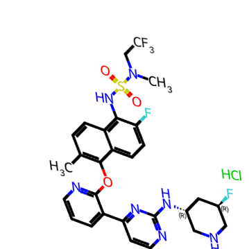 Cc1ccc2c(NS(=O)(=O)N(C)CC(F)(F)F)c(F)ccc2c1Oc1ncccc1-c1ccnc(N[C@H]2CNC[C@H](F)C2)n1.Cl